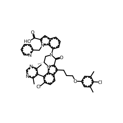 Cc1cc(OCCCc2c3n(c4c(-c5c(C)ncnc5C)c(Cl)ccc24)[C@H](C)CN(c2cccc4cc(C(=O)O)n(Cc5ccccn5)c24)C3=O)cc(C)c1Cl